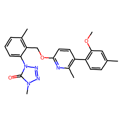 COc1cc(C)ccc1-c1ccc(OCc2c(C)cccc2-n2nnn(C)c2=O)nc1C